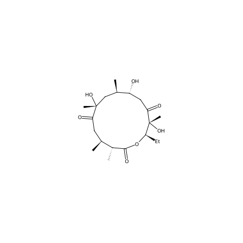 CC[C@H]1OC(=O)[C@H](C)[C@@H](C)CC(=O)[C@](C)(O)C[C@@H](C)[C@H](O)CC(=O)[C@]1(C)O